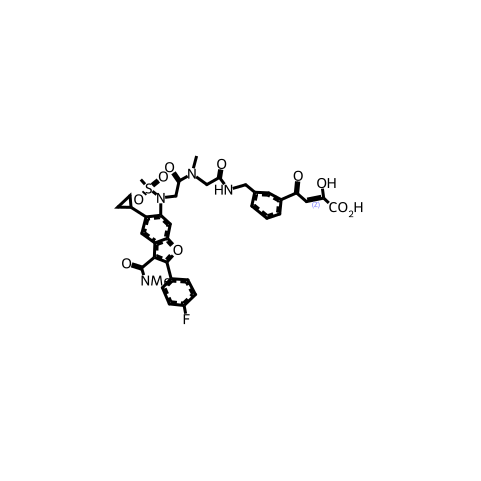 CNC(=O)c1c(-c2ccc(F)cc2)oc2cc(N(CC(=O)N(C)CC(=O)NCc3cccc(C(=O)/C=C(\O)C(=O)O)c3)S(C)(=O)=O)c(C3CC3)cc12